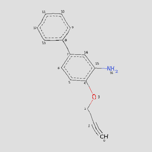 C#CCOc1ccc(-c2ccccc2)cc1N